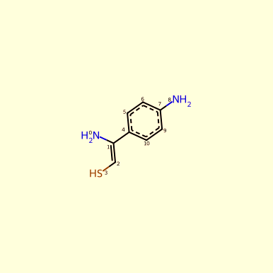 N/C(=C\S)c1ccc(N)cc1